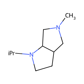 CC(C)N1CCC2CN(C)CC21